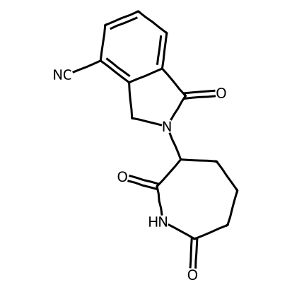 N#Cc1cccc2c1CN(C1CCCC(=O)NC1=O)C2=O